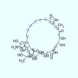 CC(CO)NC(=O)[C@H]1[C@@H]2CC(O[C@@H]3OC[C@@H](O)[C@H](N)[C@@H]3O)/C=C/C=C/C=C/C=C/C=C/C=C/C=C/[C@H](C)[C@@H](O)C[C@H](C)OC(=O)CC(O)CC(O)CC[C@@H](O)C(O)CC(O)CC(O)(C[C@@H]1O)O2